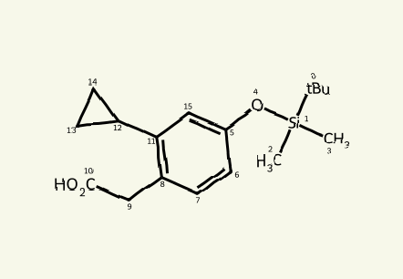 CC(C)(C)[Si](C)(C)Oc1ccc(CC(=O)O)c(C2CC2)c1